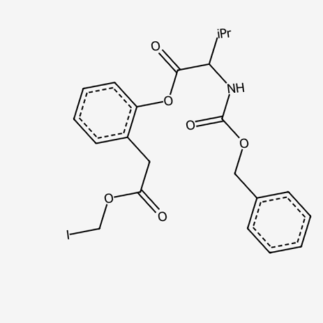 CC(C)C(NC(=O)OCc1ccccc1)C(=O)Oc1ccccc1CC(=O)OCI